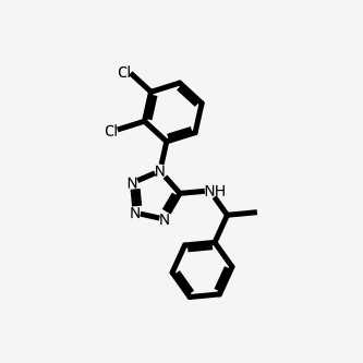 CC(Nc1nnnn1-c1cccc(Cl)c1Cl)c1ccccc1